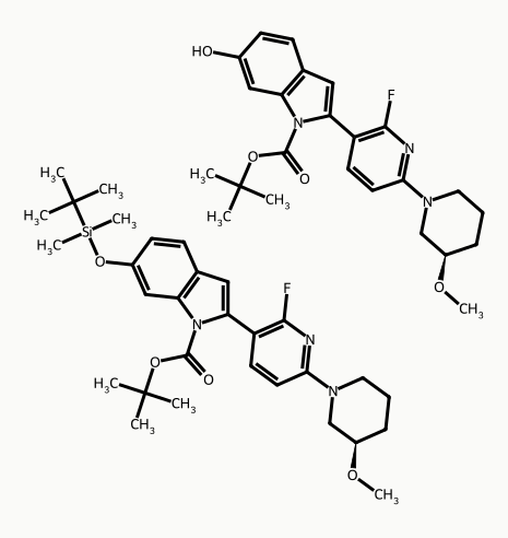 CO[C@@H]1CCCN(c2ccc(-c3cc4ccc(O)cc4n3C(=O)OC(C)(C)C)c(F)n2)C1.CO[C@@H]1CCCN(c2ccc(-c3cc4ccc(O[Si](C)(C)C(C)(C)C)cc4n3C(=O)OC(C)(C)C)c(F)n2)C1